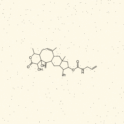 C=CCNC(=O)OC1CC2(C)CC3/C(C)=C\CC4C(C)OC(=O)C(O)C4(O)C(=C)C3CC2C1C(C)C